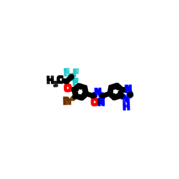 CC(Oc1ccc(-c2nc(-c3ccc4nc[nH]c4c3)no2)cc1Br)C(F)(F)F